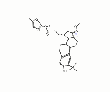 CO/N=C1\CC(CCC(=O)Nc2ncc(C)s2)C2C3CCc4cc(O)c(C(C)(C)C)cc4C3CCC12C